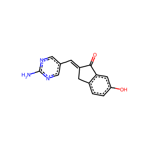 Nc1ncc(/C=C2\Cc3ccc(O)cc3C2=O)cn1